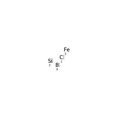 [B].[C].[Fe].[Si]